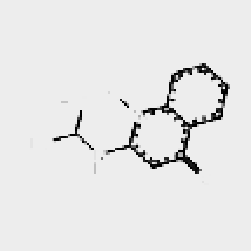 CC(C)Nc1cc(=O)c2ccccc2n1C